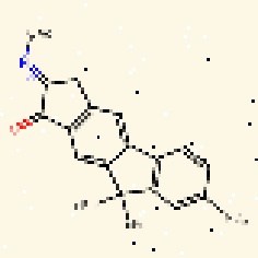 CCCCC1(CCCC)c2cc([N+](=O)[O-])ccc2-c2cc3c(cc21)C(=O)/C(=N/OC(C)=O)C3